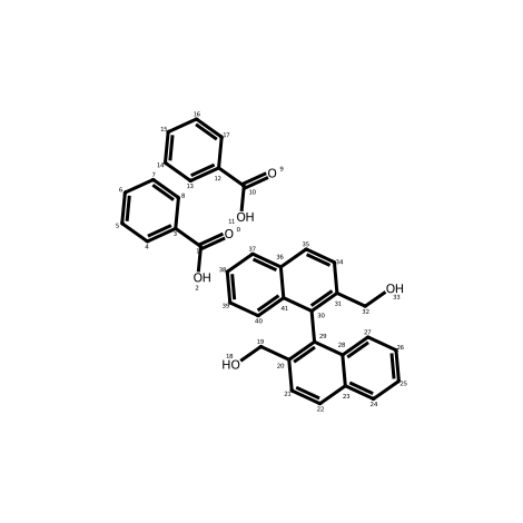 O=C(O)c1ccccc1.O=C(O)c1ccccc1.OCc1ccc2ccccc2c1-c1c(CO)ccc2ccccc12